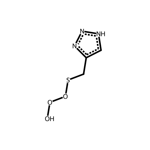 OOOSCc1c[nH]nn1